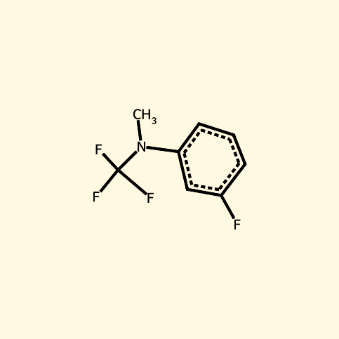 CN(c1cccc(F)c1)C(F)(F)F